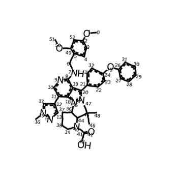 COc1ccc(CNc2ncc(-c3cnn(C)c3)c3c2c(-c2ccc(Oc4ccccc4)cc2)nn3C2CCCN(C(=O)O)C2C(C)(C)C)c(OC)c1